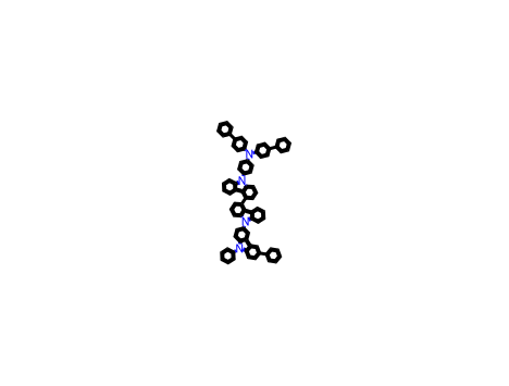 c1ccc(-c2ccc(N(c3ccc(-c4ccccc4)cc3)c3ccc(-n4c5ccccc5c5c(-c6cccc7c6c6ccccc6n7-c6ccc7c(c6)c6cc(-c8ccccc8)ccc6n7-c6ccccc6)cccc54)cc3)cc2)cc1